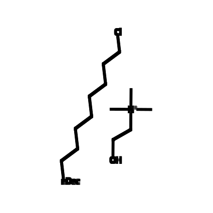 CCCCCCCCCCCCCCCCCCCl.C[N+](C)(C)CCO